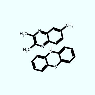 Cc1ccc2nc(C)c(C)nc2c1.c1ccc2c(c1)Nc1ccccc1S2